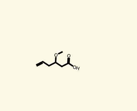 C=CCC(CC(=O)O)OC